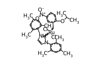 Cc1cc(C)c(N2C=C[NH+](c3c(C)cc(C)cc3C)[C]2=[Ru]([Cl])([Cl])=[CH]c2cc([N+](=O)[O-])ccc2OC(C)C)c(C)c1